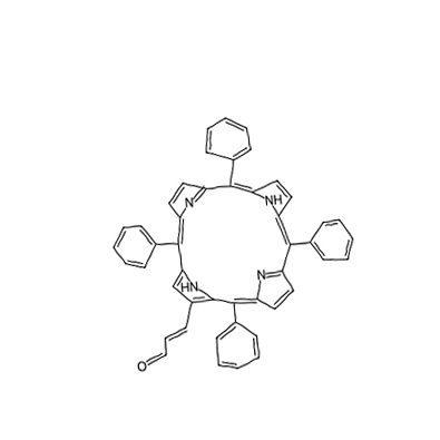 O=C/C=C/c1cc2[nH]c1c(-c1ccccc1)c1nc(c(-c3ccccc3)c3ccc([nH]3)c(-c3ccccc3)c3nc(c2-c2ccccc2)C=C3)C=C1